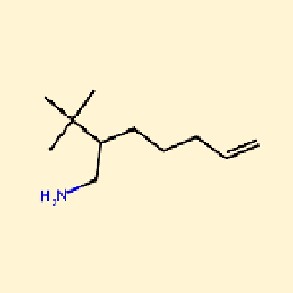 C=CCCCC(CN)C(C)(C)C